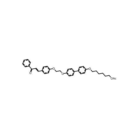 CC(=O)OCCCCCCOc1ccc(-c2ccc(OCCOc3ccc(/C=C/C(=O)c4ccccc4)cc3)cc2)cc1